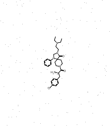 CCN(CC)CCN1CN(c2ccccc2)C2(CCN(C(=O)[C@H](N)Cc3ccc(Cl)cc3)CC2)C1=O